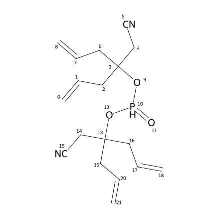 C=CCC(CC#N)(CC=C)O[PH](=O)OC(CC#N)(CC=C)CC=C